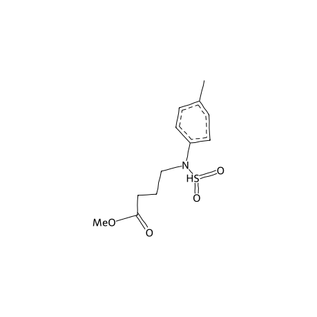 COC(=O)CCCN(c1ccc(C)cc1)[SH](=O)=O